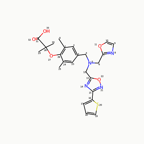 Cc1cc(CN(Cc2ncco2)Cc2nc(-c3cccs3)no2)cc(C)c1OC(C)(C)C(=O)O